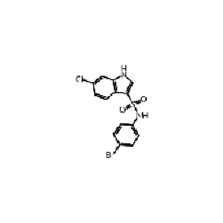 O=S(=O)(Nc1ccc(Br)cc1)c1c[nH]c2cc(Cl)ccc12